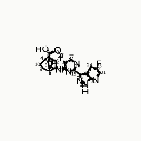 O=C(O)[C@@H]1C2CCCC(CC2)[C@H]1Nc1nc(-c2n[nH]c3ncc(F)cc23)ncc1F